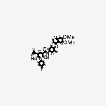 COc1cc2nccc(Oc3ccc(NC(=O)c4cc(C5CC5)c(C#N)n(-c5ccc(F)cc5)c4=O)cc3F)c2cc1OC